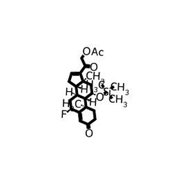 CC(=O)OCC(=O)C1=CC[C@H]2[C@@H]3C[C@H](F)C4=CC(=O)CC[C@]4(C)[C@H]3[C@@H](O[Si](C)(C)C)C[C@]12C